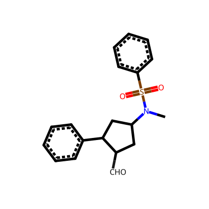 CN(C1CC(C=O)C(c2ccccc2)C1)S(=O)(=O)c1ccccc1